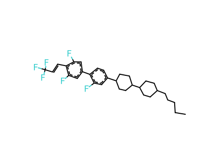 CCCCCC1CCC(C2CCC(c3ccc(-c4cc(F)c(/C=C/C(F)(F)F)c(F)c4)c(F)c3)CC2)CC1